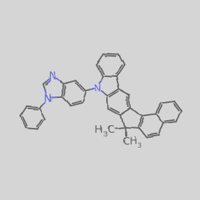 CC1(C)c2cc3c(cc2-c2c1ccc1ccccc21)c1ccccc1n3-c1ccc2c(c1)ncn2-c1ccccc1